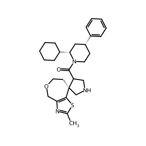 Cc1nc2c(s1)[C@]1(CCOC2)CNCC1C(=O)N1CC[C@@H](c2ccccc2)C[C@H]1C1CCCCC1